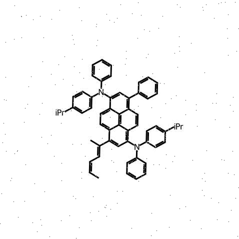 C/C=C\C=C(/C)c1cc(N(c2ccccc2)c2ccc(C(C)C)cc2)c2ccc3c(-c4ccccc4)cc(N(c4ccccc4)c4ccc(C(C)C)cc4)c4ccc1c2c34